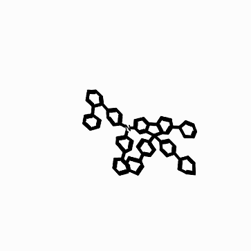 C1=CCC(c2ccc3c(c2)C(c2ccc(-c4ccccc4)cc2)(c2ccc(-c4ccccc4)cc2)c2cc(N(c4ccc(-c5ccccc5)cc4)c4ccc(-c5ccccc5-c5ccccc5)cc4)ccc2-3)C=C1